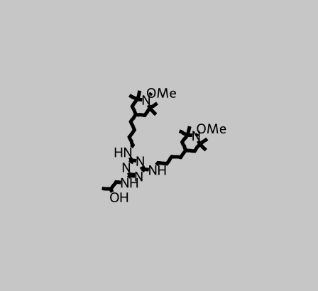 CON1C(C)(C)CC(CCCCNc2nc(NCCCCC3CC(C)(C)N(OC)C(C)(C)C3)nc(NCC(C)O)n2)CC1(C)C